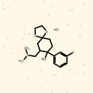 CN(C)CC1CC2(CCC1(O)c1cccc(F)c1)OCCO2.Cl